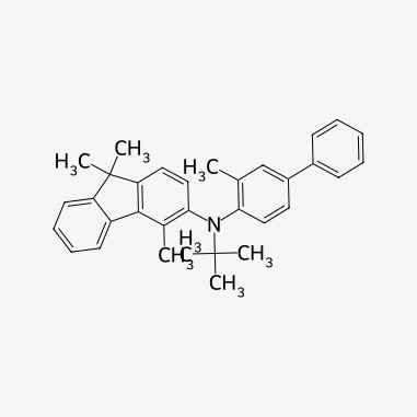 Cc1cc(-c2ccccc2)ccc1N(c1ccc2c(c1C)-c1ccccc1C2(C)C)C(C)(C)C